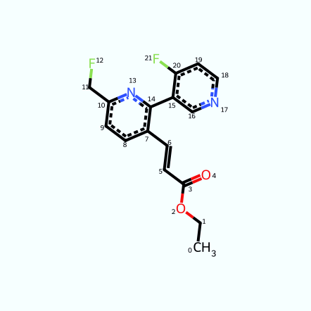 CCOC(=O)/C=C/c1ccc(CF)nc1-c1cnccc1F